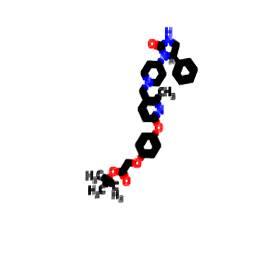 Cc1nc(Oc2ccc(OCC(=O)OC(C)(C)C)cc2)ccc1CN1CCC(N2C(=O)NC[C@H]2c2ccccc2)CC1